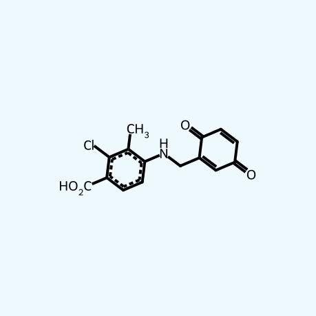 Cc1c(NCC2=CC(=O)C=CC2=O)ccc(C(=O)O)c1Cl